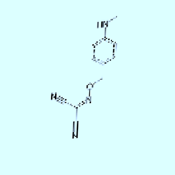 CNc1ccc(CON=C(C#N)C#N)cc1